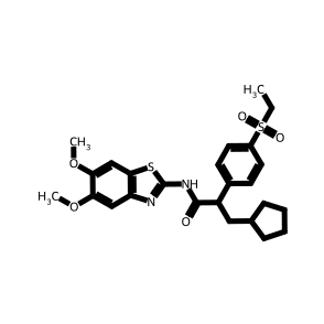 CCS(=O)(=O)c1ccc(C(CC2CCCC2)C(=O)Nc2nc3cc(OC)c(OC)cc3s2)cc1